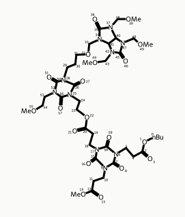 CCCCOC(=O)CCn1c(=O)n(CCC(=O)OC)c(=O)n(CCC(=O)OCCn2c(=O)n(CCCOCN3C(=O)N(COC)C4C3N(COC)C(=O)N4COC)c(=O)n(CCOC)c2=O)c1=O